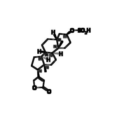 C[C@]12CC[C@H](OS(=O)(=O)O)C[C@H]1CC[C@@H]1[C@@H]2CC[C@]2(C)[C@@H](C3=CC(=O)OC3)CC[C@@H]12